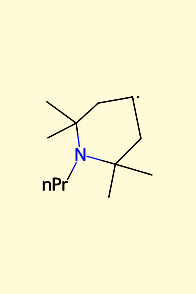 CCCN1C(C)(C)C[CH]CC1(C)C